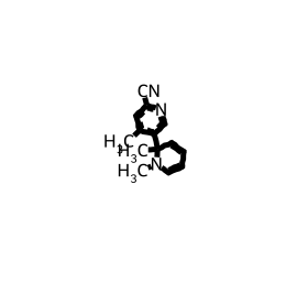 Cc1cc(C#N)ncc1C1(C)C=CC=CN1C